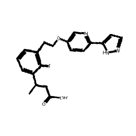 CC(CC(=O)O)c1cccc(CCOc2ccc(-c3ccn[nH]3)nc2)c1F